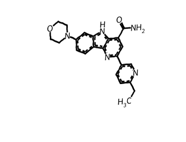 CCc1ccc(-c2cc(C(N)=O)c3[nH]c4cc(N5CCOCC5)ccc4c3n2)cn1